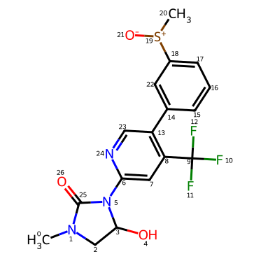 CN1CC(O)N(c2cc(C(F)(F)F)c(-c3cccc([S+](C)[O-])c3)cn2)C1=O